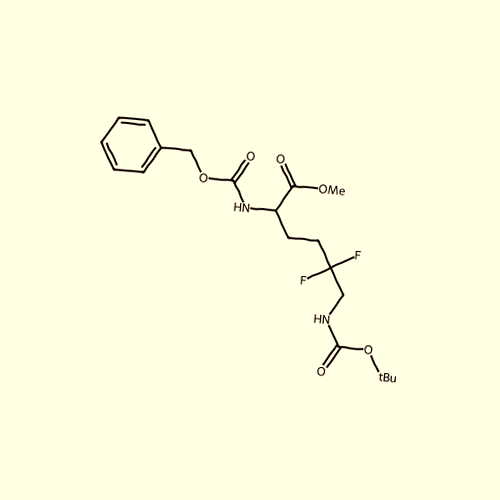 COC(=O)C(CCC(F)(F)CNC(=O)OC(C)(C)C)NC(=O)OCc1ccccc1